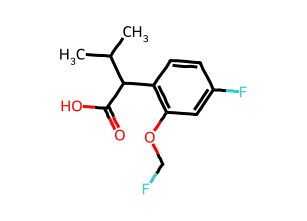 CC(C)C(C(=O)O)c1ccc(F)cc1OCF